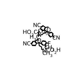 CC(C(=O)O)N(C)CCCC1(c2ccc(C#N)cc2)OCc2cc(C#N)ccc21.Cc1cc(C2(CCCN(C)CC(=O)O)OCc3cc(C#N)ccc32)ccc1F